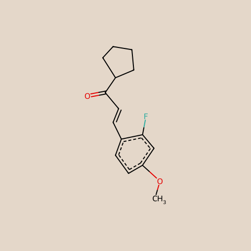 COc1ccc(C=CC(=O)C2CCCC2)c(F)c1